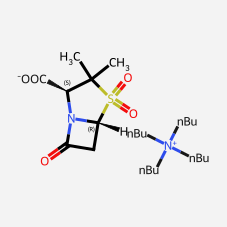 CC1(C)[C@H](C(=O)[O-])N2C(=O)C[C@H]2S1(=O)=O.CCCC[N+](CCCC)(CCCC)CCCC